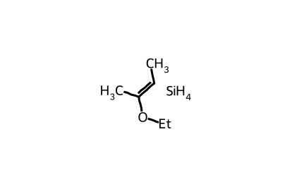 CC=C(C)OCC.[SiH4]